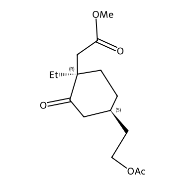 CC[C@]1(CC(=O)OC)CC[C@@H](CCOC(C)=O)CC1=O